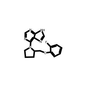 Fc1ccccc1OCC1CCCN1c1ncnc2[nH]cnc12